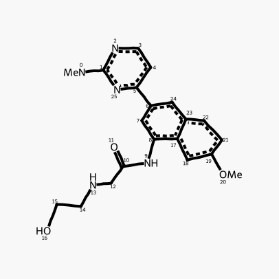 CNc1nccc(-c2cc(NC(=O)CNCCO)c3cc(OC)ccc3c2)n1